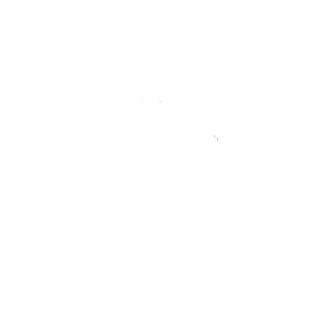 CCOC(=O)NCCNC(=O)OCC(C)OCCCC(=O)O